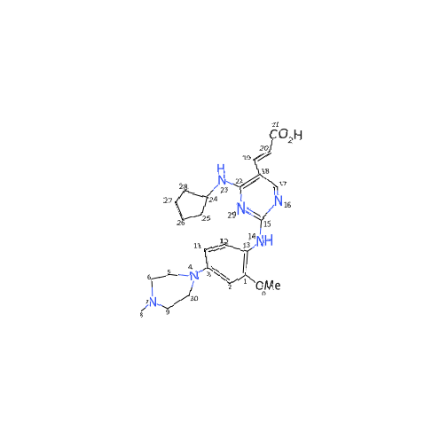 COc1cc(N2CCN(C)CC2)ccc1Nc1ncc(C=CC(=O)O)c(NC2CCCC2)n1